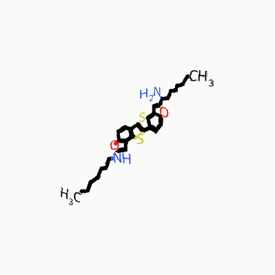 CCCCCCCCNc1cc2c(ccc3c2sc2c4ccc5oc(C(N)CCCCCCC)cc5c4sc32)o1